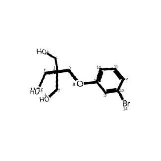 OCC(CO)(CO)COc1cccc(Br)c1